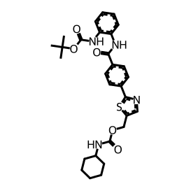 CC(C)(C)OC(=O)Nc1ccccc1NC(=O)c1ccc(-c2ncc(COC(=O)NC3CCCCC3)s2)cc1